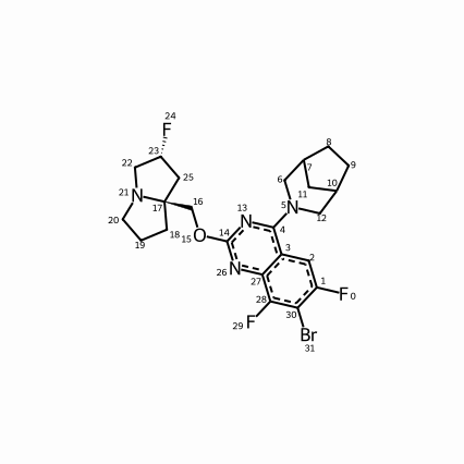 Fc1cc2c(N3CC4CCC(C4)C3)nc(OC[C@@]34CCCN3C[C@H](F)C4)nc2c(F)c1Br